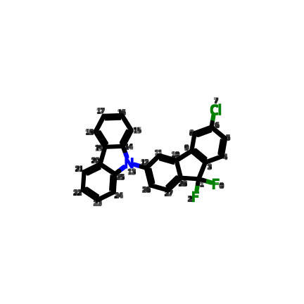 FC1(F)c2ccc(Cl)cc2-c2cc(-n3c4ccccc4c4ccccc43)ccc21